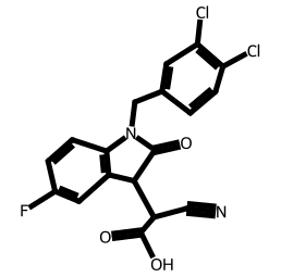 N#CC(C(=O)O)C1C(=O)N(Cc2ccc(Cl)c(Cl)c2)c2ccc(F)cc21